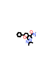 Cc1nc2c3c(c(C(=O)N(C)C)cn2c1C)CCC(c1ccccc1)O3